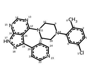 Cc1ccc(Cl)cc1N1CCN(c2ncnc3[nH]nc(-c4ccncc4)c23)CC1